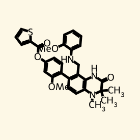 COc1ccccc1NCc1c(-c2ccc(OC(=O)c3cccs3)cc2OC)ccc2c1NC(=O)C(C)(C)N2C